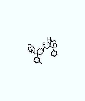 CC(=O)NC(CC(F)N1CCC(CN2CCOCC2)(c2cccc(C)c2)CC1)C(=O)c1ccccc1